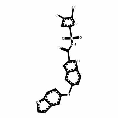 O=C(NS(=O)(=O)c1cc(Cl)c(Cl)s1)c1cc2cc(Oc3ccc4occc4c3)ccc2[nH]1